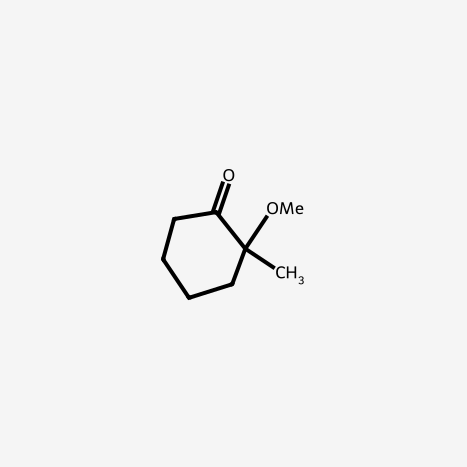 COC1(C)CCCCC1=O